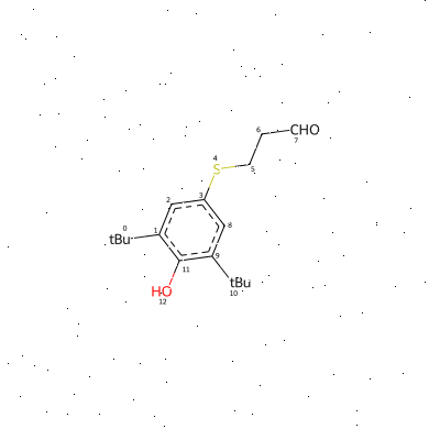 CC(C)(C)c1cc(SCCC=O)cc(C(C)(C)C)c1O